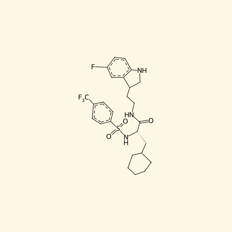 O=C(NCCC1CNc2ccc(F)cc21)[C@H](CC1CCCCC1)NS(=O)(=O)c1ccc(C(F)(F)F)cc1